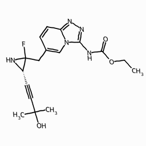 CCOC(=O)Nc1nnc2ccc(CC3(F)N[C@H]3C#CC(C)(C)O)cn12